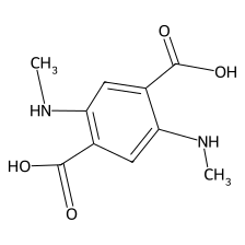 CNc1cc(C(=O)O)c(NC)cc1C(=O)O